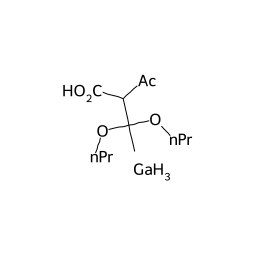 CCCOC(C)(OCCC)C(C(C)=O)C(=O)O.[GaH3]